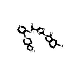 O=C(Nc1cnccc1N1CCC2(CC1)CNC2)c1csc(N2Cc3ccc(S)cc3C2=O)n1